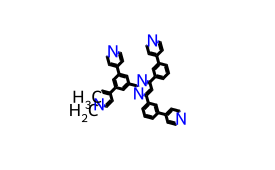 C=N/C=C\C(=C/C)c1cc(-c2ccncc2)cc(-c2nc(-c3cccc(-c4ccncc4)c3)cc(-c3cccc(-c4ccncc4)c3)n2)c1